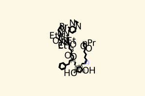 CCCOC(=O)CCC/C=C\C[C@@H]1[C@@H](CC[C@H](CCc2ccccc2)OC(=O)CCC(=O)C(CC)(CC)OC(C)C(=O)C(CC)(CC)N2CCN=C2Nc2ccc3nccnc3c2Br)[C@H](O)C[C@@H]1O